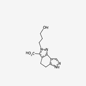 O=C(O)c1c2c(nn1CCCO)-c1cn[nH]c1CC2